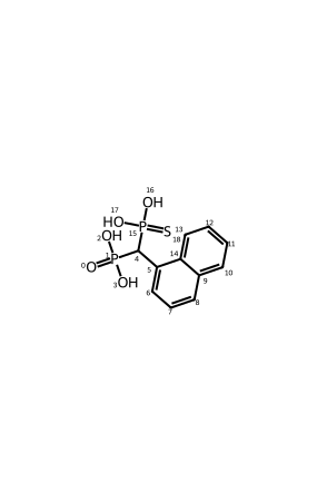 O=P(O)(O)C(c1cccc2ccccc12)P(O)(O)=S